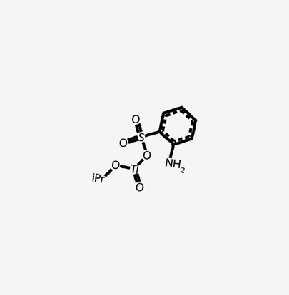 CC(C)[O][Ti](=[O])[O]S(=O)(=O)c1ccccc1N